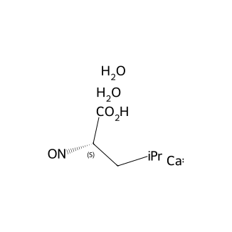 CC(C)C[C@H](N=O)C(=O)O.O.O.[Ca]